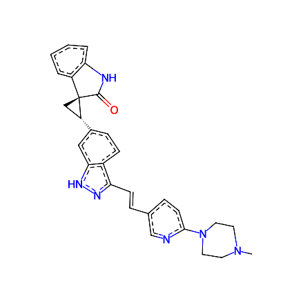 CN1CCN(c2ccc(/C=C/c3n[nH]c4cc([C@@H]5C[C@@]56C(=O)Nc5ccccc56)ccc34)cn2)CC1